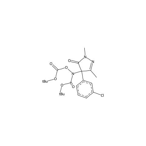 CC1=NN(C)C(=O)C1(c1cccc(Cl)c1)N(OC(=O)OC(C)(C)C)C(=O)OC(C)(C)C